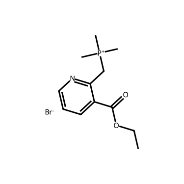 CCOC(=O)c1cccnc1C[P+](C)(C)C.[Br-]